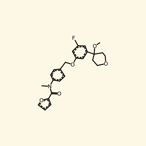 COC1(c2cc(F)cc(OCc3ccc(N(C)C(=O)c4ccco4)cc3)c2)CCOCC1